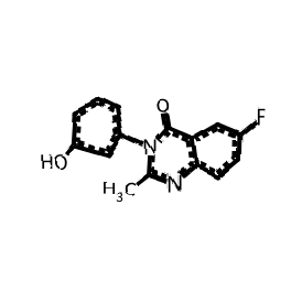 Cc1nc2ccc(F)cc2c(=O)n1-c1cccc(O)c1